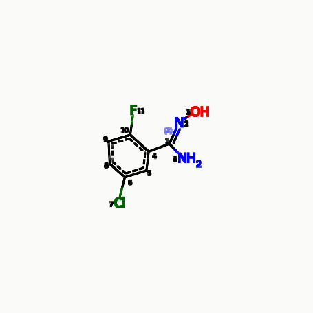 N/C(=N\O)c1cc(Cl)ccc1F